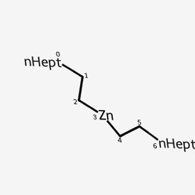 CCCCCCCC[CH2][Zn][CH2]CCCCCCCC